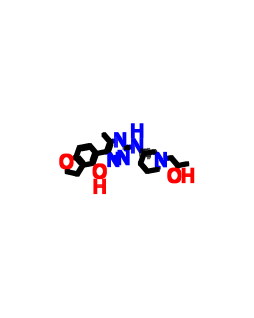 Cc1nc(N[C@@H]2CCCN(CC(C)O)C2)nnc1-c1ccc2c(c1O)CCO2